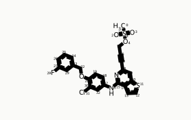 CS(=O)(=O)OCC#Cc1cc2sccc2c(Nc2ccc(OCc3cccc(F)c3)c(Cl)c2)n1